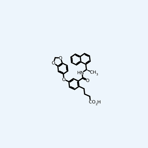 C[C@@H](NC(=O)c1cc(Oc2ccc3c(c2)OCO3)ccc1CCCC(=O)O)c1cccc2ccccc12